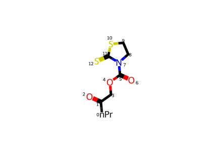 CCCC(=O)COC(=O)N1CCSC1=S